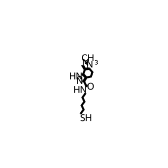 Cn1cc2c(n1)CCc1c(C(=O)NCCCCCCS)n[nH]c1-2